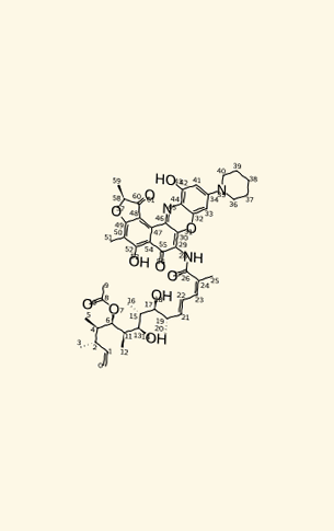 C=C[C@H](C)[C@@H](C)[C@@H](OC(C)=O)[C@H](C)[C@H](O)[C@H](C)[C@@H](O)[C@@H](C)/C=C/C=C(/C)C(=O)Nc1c2oc3cc(N4CCCCC4)cc(O)c3nc-2c2c3c(c(C)c(O)c2c1=O)O[C@@H](C)C3=O